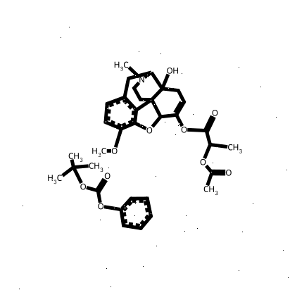 CC(C)(C)OC(=O)Oc1ccccc1.COc1ccc2c3c1OC1C(OC(=O)C(C)OC(C)=O)=CCC4(O)C(C2)N(C)CCC314